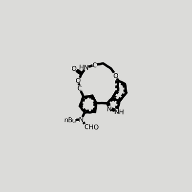 CCCCN(C=O)c1cc2cc(c1)-c1n[nH]c3ccc(cc13)OCCCNC(=O)OC2